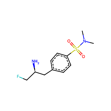 CN(C)S(=O)(=O)c1ccc(C[C@H](N)CF)cc1